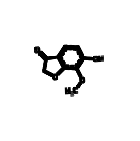 COc1c(O)ccc2c1OCC2=O